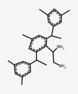 Cc1cc(C)cc(C(C)c2cc(C)cc(C(C)c3cc(C)cc(C)c3)c2C(N)CN)c1